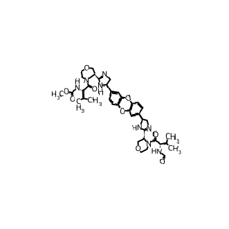 COC(=O)N[C@H](C(=O)N1CCOC[C@H]1C1=NCC(c2ccc3c(c2)Oc2ccc(C4CN=C([C@@H]5COCCN5C(=O)[C@@H](NC=O)C(C)C)N4)cc2O3)N1)C(C)C